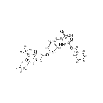 CC(C)(C)OC(=O)CN(CCOc1ccc(CC(NC(=O)OCc2ccccc2)C(=O)O)cc1)C(=O)OC(C)(C)C